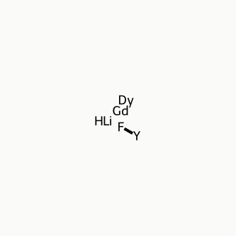 [Dy].[F][Y].[Gd].[LiH]